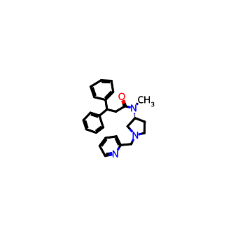 CN(C(=O)CC(c1ccccc1)c1ccccc1)[C@@H]1CCN(Cc2ccccn2)C1